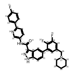 O=C(Nc1ccc(-c2ccc(F)cc2)nc1)c1n[nH]c2ccc(-c3cc(CN4CCCCC4)cc(F)c3F)cc12